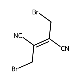 N#CC(CBr)=C(C#N)CBr